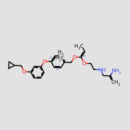 C=C(N)CNCCO/C(=C/C)OCC(=C)/C=C\C(=C/C)Oc1cccc(OCC2CC2)c1